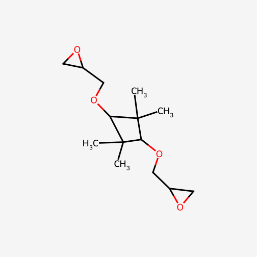 CC1(C)C(OCC2CO2)C(C)(C)C1OCC1CO1